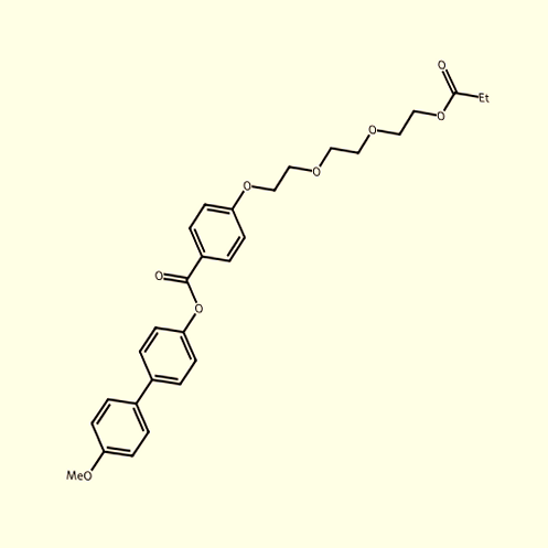 CCC(=O)OCCOCCOCCOc1ccc(C(=O)Oc2ccc(-c3ccc(OC)cc3)cc2)cc1